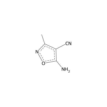 Cc1noc(N)c1C#N